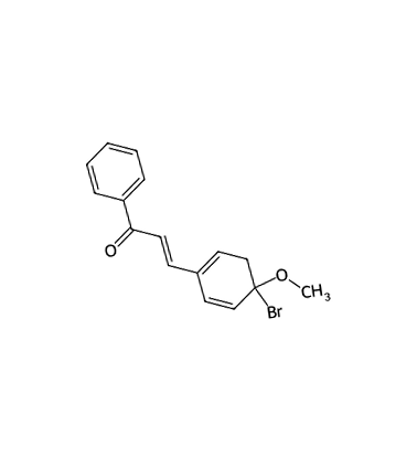 COC1(Br)C=CC(C=CC(=O)c2ccccc2)=CC1